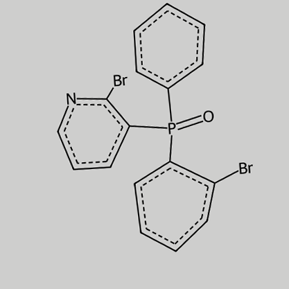 O=P(c1ccccc1)(c1ccccc1Br)c1cccnc1Br